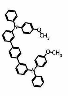 COc1ccc(N(c2ccccc2)c2cccc(-c3ccc(-c4cccc(N(c5ccccc5)c5ccc(OC)cc5)c4)cc3)c2)cc1